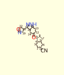 N#Cc1ccc2c(c1)CCC2Oc1ccc2[nH]nc(-c3cnoc3)c2c1